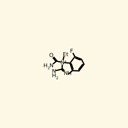 CC[N+](C(=N)N)(C(N)=O)c1c(C)cccc1F